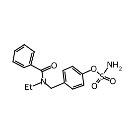 CCN(Cc1ccc(OS(N)(=O)=O)cc1)C(=O)c1ccccc1